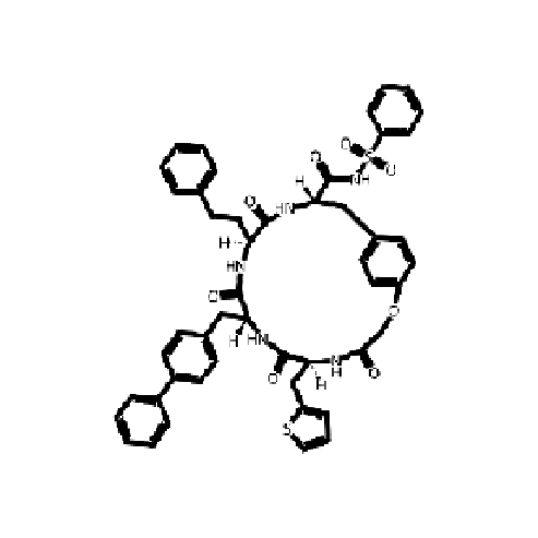 O=C1COc2ccc(cc2)C[C@@H](C(=O)NS(=O)(=O)c2ccccc2)NC(=O)[C@H](CCc2ccccc2)NC(=O)[C@@H](Cc2ccc(-c3ccccc3)cc2)NC(=O)[C@H](Cc2cccs2)N1